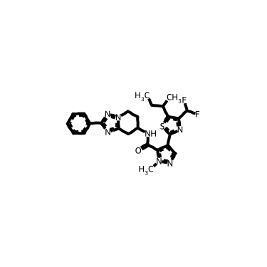 CCC(C)c1sc(-c2cnn(C)c2C(=O)NC2CCn3nc(-c4ccccc4)nc3C2)nc1C(F)F